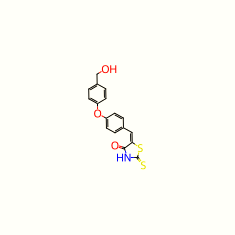 O=C1NC(=S)SC1=Cc1ccc(Oc2ccc(CO)cc2)cc1